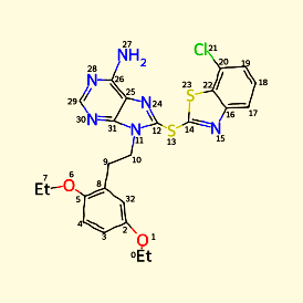 CCOc1ccc(OCC)c(CCn2c(Sc3nc4cccc(Cl)c4s3)nc3c(N)ncnc32)c1